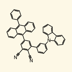 N#Cc1cc(-c2c3ccccc3c(-c3ccccc3)c3ccccc23)cc(-c2cccc(-n3c4ccccc4c4ccccc43)c2)c1C#N